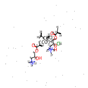 C=C(C)C(=O)OCC(O)C[N+](C)(C)C.C=C(C)C(=O)OCC(O)C[N+](C)(C)C.C=C(C)C(=O)[O-].C=CC(=O)O.[Cl-]